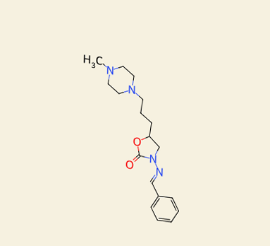 CN1CCN(CCCC2CN(N=Cc3ccccc3)C(=O)O2)CC1